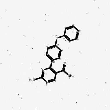 NC(=O)c1cnc([SiH3])nc1-c1ccc(Oc2ccccc2)cc1